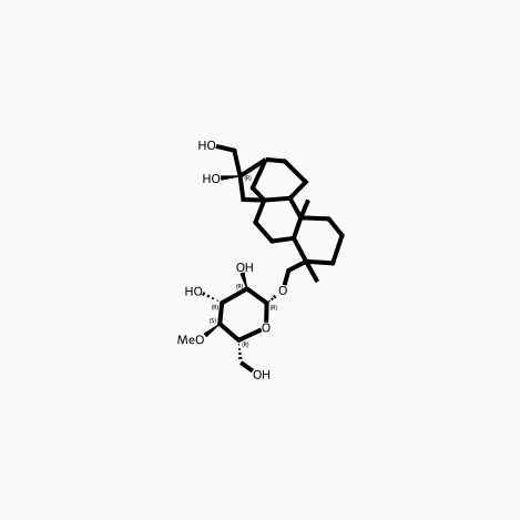 CO[C@H]1[C@H](O)[C@@H](O)[C@H](OCC2(C)CCCC3(C)C2CCC24CC(CCC23)[C@@](O)(CO)C4)O[C@@H]1CO